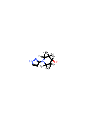 [2H]C1([2H])N(c2cc[nH]n2)C([2H])([2H])C([2H])([2H])C([2H])(O)C1([2H])[2H]